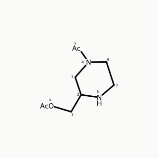 CC(=O)OCC1CN(C(C)=O)CCN1